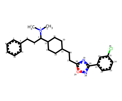 CN(C)C(CCc1ccccc1)C1CCC(CCc2nc(-c3cccc(Cl)c3)no2)CC1